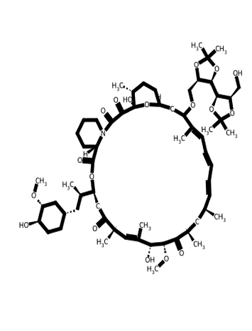 CO[C@@H]1C[C@H](C[C@@H](C)[C@@H]2CC(=O)[C@H](C)/C=C(\C)[C@@H](O)[C@@H](OC)C(=O)[C@H](C)C[C@H](C)/C=C/C=C/C=C(\C)C(OC[C@H]3OC(C)(C)O[C@H]3[C@@H]3OC(C)(C)O[C@@H]3CO)C[C@@H]3CC[C@@H](C)[C@@](O)(O3)C(=O)C(=O)N3CCCC[C@H]3C(=O)O2)CC[C@H]1O